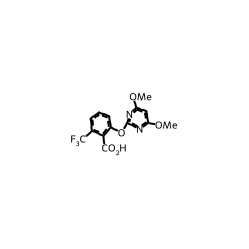 COc1cc(OC)nc(Oc2cccc(C(F)(F)F)c2C(=O)O)n1